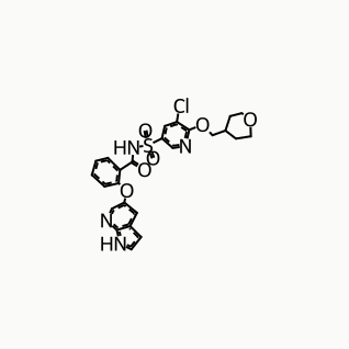 O=C(NS(=O)(=O)c1cnc(OCC2CCOCC2)c(Cl)c1)c1ccccc1Oc1cnc2[nH]ccc2c1